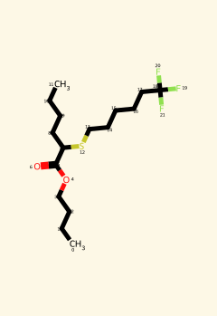 CCCCOC(=O)C(CCCC)SCCCCCC(F)(F)F